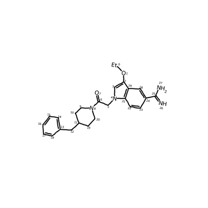 CCOc1cn(CC(=O)N2CCC(Cc3ccccc3)CC2)c2ccc(C(=N)N)cc12